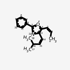 C/C=C\c1oc(-c2ccccc2)nc1/C=C\C(C)C